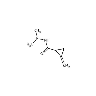 C=C1CC1C(=O)NN(C)C